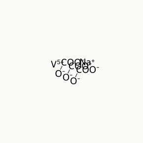 O=C([O-])[O-].O=C([O-])[O-].O=C([O-])[O-].[Na+].[V+5]